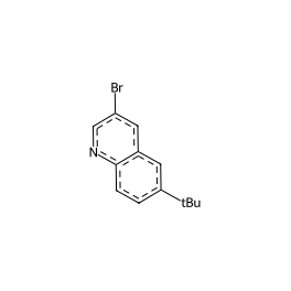 CC(C)(C)c1ccc2ncc(Br)cc2c1